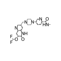 CNC(=O)c1ccc(N2CCN(Cc3cnc4cc(OC(F)F)c(=O)[nH]c4c3)CC2)cn1